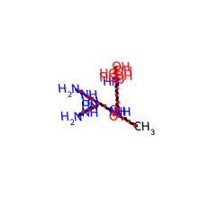 CCCCCCCCCCC(NC(=O)CCCCCCCCCCCNC(=O)[C@@H](O)[C@@H](O)[C@@H](O)[C@H](O)CO)C(=O)NCCCCCCC(CNCCCCNCCCN)CNCCCCNCCCN